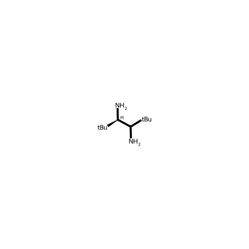 CC(C)(C)C(N)[C@H](N)C(C)(C)C